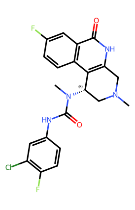 CN1Cc2[nH]c(=O)c3cc(F)ccc3c2[C@@H](N(C)C(=O)Nc2ccc(F)c(Cl)c2)C1